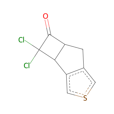 O=C1C2Cc3cscc3C2C1(Cl)Cl